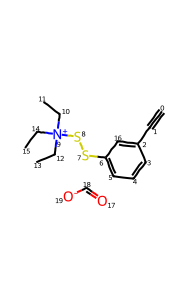 C#Cc1cccc(SS[N+](CC)(CC)CC)c1.O=C[O-]